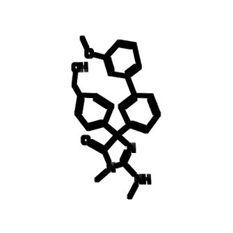 CNC1=NC(c2ccc(CO)cc2)(c2cccc(-c3cccc(OC)c3)c2)C(=O)N1C